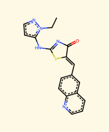 CCn1nccc1NC1=NC(=O)/C(=C/c2ccc3ncccc3c2)S1